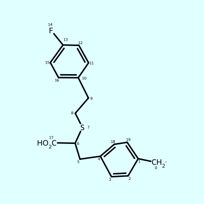 [CH2]c1ccc(CC(SCCc2ccc(F)cc2)C(=O)O)cc1